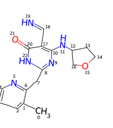 Cc1cccnc1Cc1nc(NC2CCOC2)c(C=N)c(=O)[nH]1